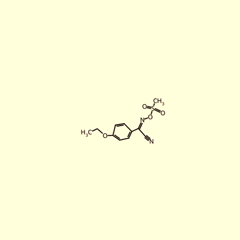 CCOc1ccc(C(C#N)=NOS(C)(=O)=O)cc1